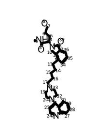 CNC(=O)C(CCC=O)N1Cc2c(CCCCCN3CCN(c4ccnc5ccccc45)CC3)cccc2C1=O